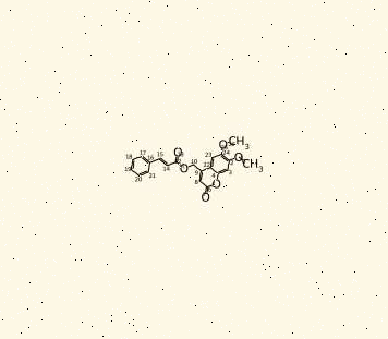 COc1cc2oc(=O)cc(COC(=O)C=Cc3ccccc3)c2cc1OC